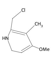 COC1=CCNC(CCl)=C1C